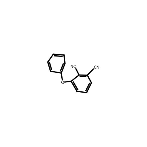 N#Cc1cccc(Oc2ccccc2)c1C#N